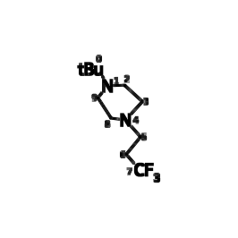 CC(C)(C)N1CCN(CCC(F)(F)F)CC1